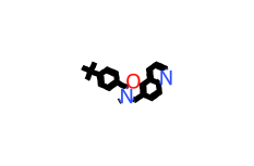 CN(Cc1ccc2ncccc2c1)C(=O)c1ccc(C(C)(C)C)cc1